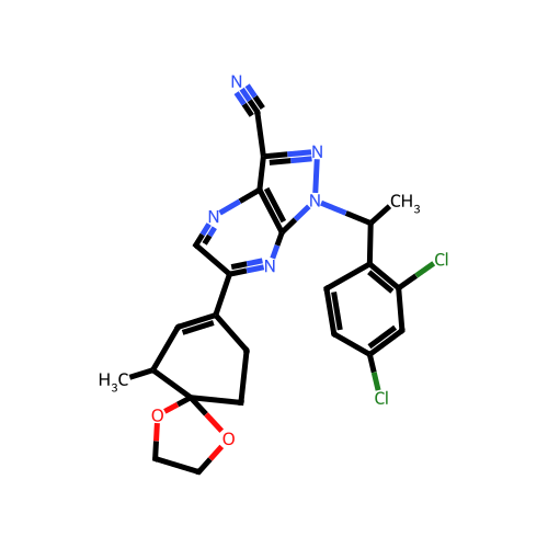 CC(c1ccc(Cl)cc1Cl)n1nc(C#N)c2ncc(C3=CC(C)C4(CC3)OCCO4)nc21